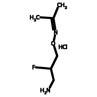 CC(C)=NOCC(F)CN.Cl